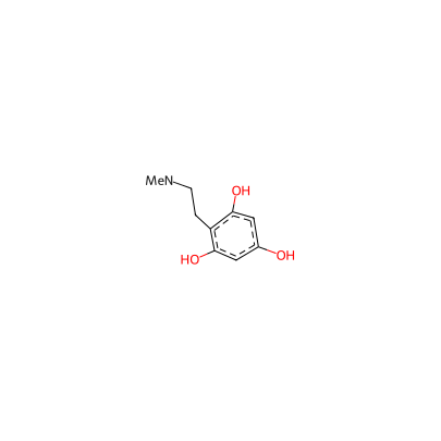 [CH2]NCCc1c(O)cc(O)cc1O